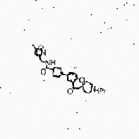 Cc1cc(CNC(=O)c2ccc(-c3ccc4c(c3)C(=O)CC3(CCN(C(C)C)CC3)O4)cc2)no1